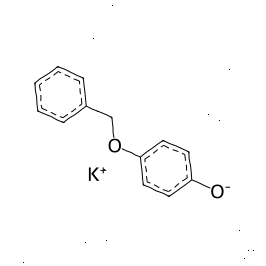 [K+].[O-]c1ccc(OCc2ccccc2)cc1